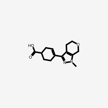 Cn1nc(C2=CCC(C(=O)O)CC2)c2c1COCC2